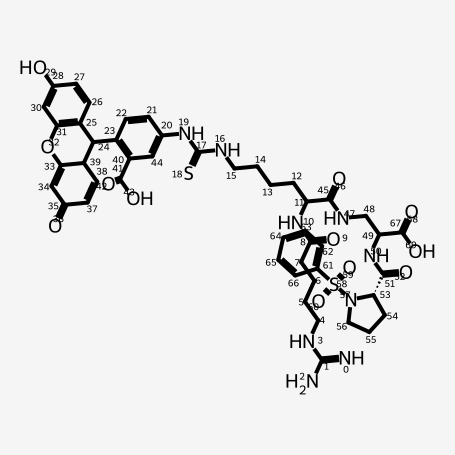 N=C(N)NCCCCC(=O)NC(CCCCNC(=S)Nc1ccc(C2c3ccc(O)cc3OC3=CC(=O)C=CC32)c(C(=O)O)c1)C(=O)NCC(NC(=O)[C@@H]1CCCN1S(=O)(=O)c1ccccc1)C(=O)O